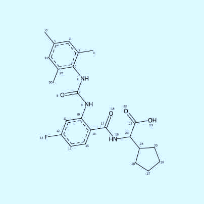 Cc1cc(C)c(NC(=O)Nc2cc(F)ccc2C(=O)NC(C(=O)O)C2CCCC2)c(C)c1